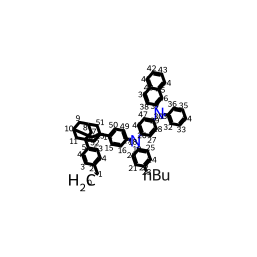 C=Cc1ccc(C23CC4CC(C2)CC(c2ccc(N(c5ccc(CCCC)cc5)c5ccc(N(c6ccccc6)c6ccc7ccccc7c6)cc5)cc2)(C4)C3)cc1